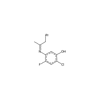 CC(CC(C)C)=Nc1cc(O)c(Cl)cc1F